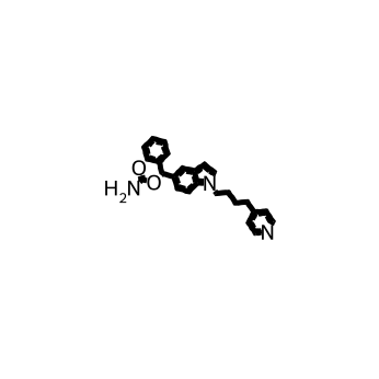 NC(=O)OC(c1ccccc1)c1ccc2c(ccn2CCCCc2ccncc2)c1